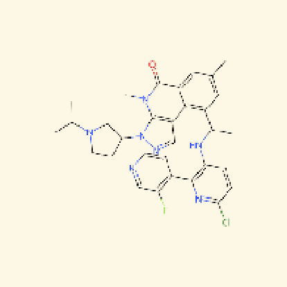 Cc1cc(C(C)Nc2ccc(Cl)nc2-c2ccncc2F)c2c(c1)c(=O)n(C)c1c2cnn1C1CCN(C(C)C)C1